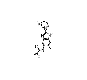 C=C(F)C(=O)Nc1cc2nc(N3CCC[C@@H](C)C3)n(C)c2cc1C